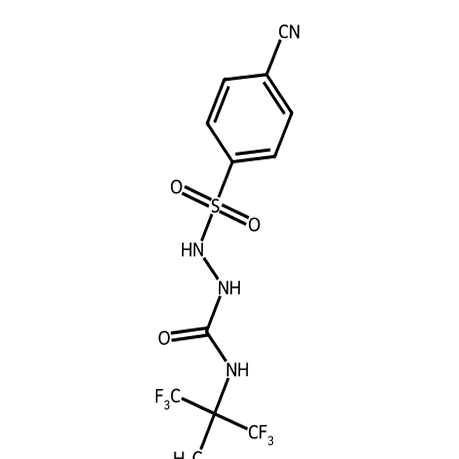 CC(NC(=O)NNS(=O)(=O)c1ccc(C#N)cc1)(C(F)(F)F)C(F)(F)F